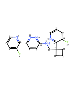 Fc1cccnc1-c1ccc(NCC2(c3ncccc3F)CCC2)nn1